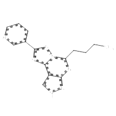 CCCCc1nc2n[nH]cc2c2nc(-c3cccnc3)nn12